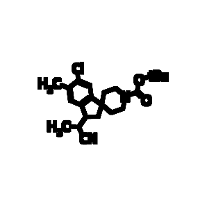 Cc1cc2c(cc1Cl)C1(CCN(C(=O)OC(C)(C)C)CC1)CC2C(C)C#N